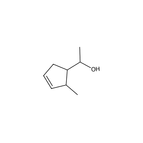 CC(O)C1CC=CC1C